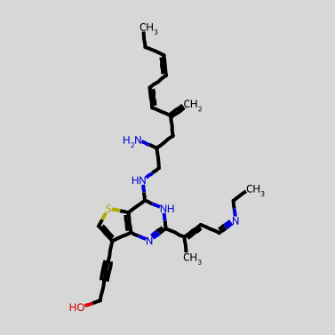 C=C(/C=C\C=C/CC)CC(N)CNC1NC(/C(C)=C/C=N\CC)=Nc2c(C#CCO)csc21